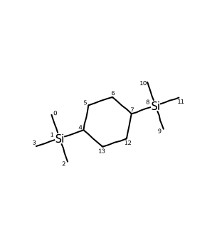 C[Si](C)(C)C1CCC([Si](C)(C)C)CC1